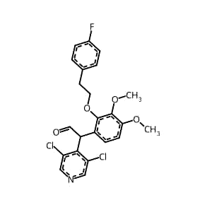 COc1ccc(C(C=O)c2c(Cl)cncc2Cl)c(OCCc2ccc(F)cc2)c1OC